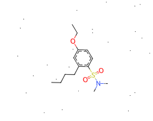 CCCCc1cc(OCC)ccc1S(=O)(=O)N(C)C